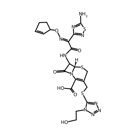 Nc1nc(C(=NOC2C=CCC2)C(=O)NC2C(=O)N3C(C(=O)O)=C(CSc4nnnn4CCO)CS[C@@H]23)ns1